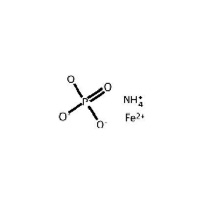 O=P([O-])([O-])[O-].[Fe+2].[NH4+]